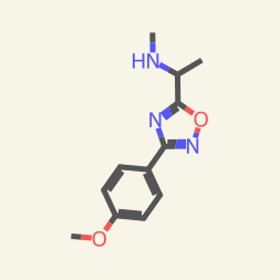 CNC(C)c1nc(-c2ccc(OC)cc2)no1